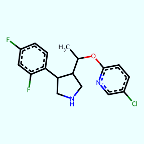 CC(Oc1ccc(Cl)cn1)C1CNCC1c1ccc(F)cc1F